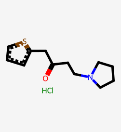 Cl.O=C(CCN1CCCC1)Cc1cccs1